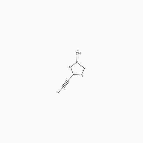 CC#CC1CCC(O)C1